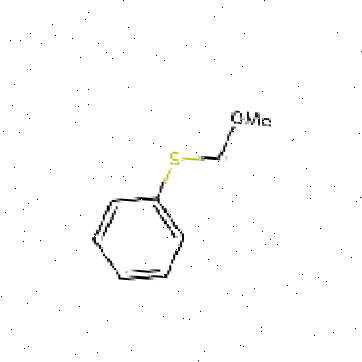 CO[C]Sc1ccccc1